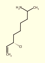 C=C[C@@H](Cl)CCCCC(C)N